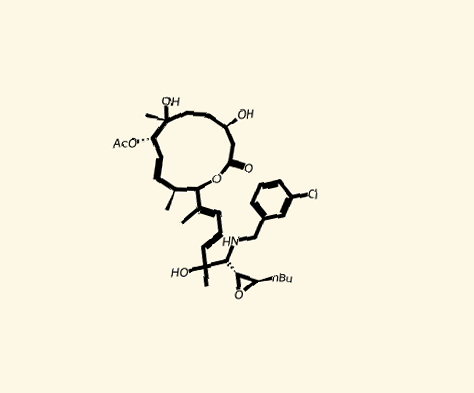 CCCC[C@H]1O[C@@H]1C(NCc1cccc(Cl)c1)C(C)(O)/C=C/C=C(\C)C1OC(=O)C[C@H](O)CC[C@@](C)(O)[C@@H](OC(C)=O)/C=C/[C@@H]1C